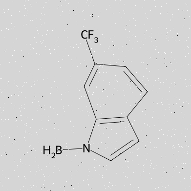 Bn1ccc2ccc(C(F)(F)F)cc21